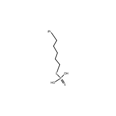 CC(C)CCCCCSP(O)(O)=S